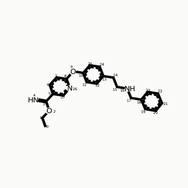 CCOC(=N)c1ccc(Oc2ccc(CCNCc3ccccc3)cc2)nc1